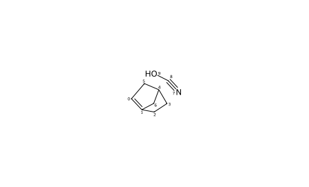 C1=C2CCC(C1)C2.N#CO